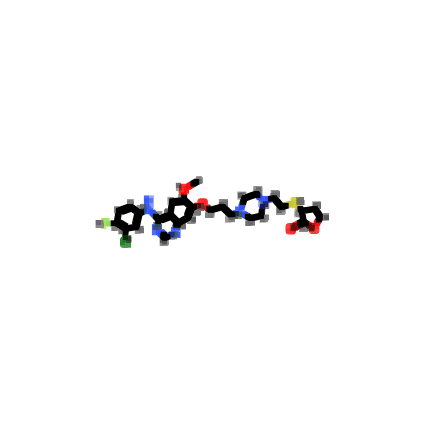 COc1cc2c(Nc3ccc(F)c(Cl)c3)ncnc2cc1OCCCN1CCN(CCSC2CCOC2=O)CC1